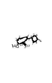 Oc1cccc(-c2ccccc2)c1I